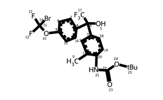 Cc1cc(C(O)(c2ccc(OC(F)(F)Br)cc2)C(F)(F)F)ccc1NC(=O)OC(C)(C)C